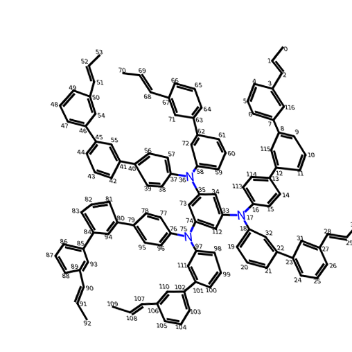 C/C=C/c1cccc(-c2cccc(-c3ccc(N(c4cccc(-c5cccc(/C=C/C)c5)c4)c4cc(N(c5ccc(-c6cccc(-c7cccc(/C=C/C)c7)c6)cc5)c5cccc(-c6cccc(/C=C/C)c6)c5)cc(N(c5ccc(-c6cccc(-c7cccc(/C=C/C)c7)c6)cc5)c5cccc(-c6cccc(/C=C/C)c6)c5)c4)cc3)c2)c1